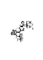 CN(C)C(=O)c1ccc(-c2cc(C(F)(F)F)cc3[nH]ncc23)cc1